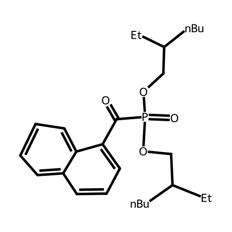 CCCCC(CC)COP(=O)(OCC(CC)CCCC)C(=O)c1cccc2ccccc12